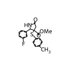 COC(=O)C1(Sc2ccc(C)cc2)CC(=O)NC1c1cccc(F)c1